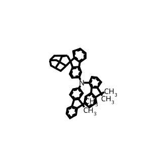 CC1(C)c2ccccc2-c2ccc(N(c3ccc4c(c3)-c3ccccc3C43C4CC5CC6CC3C6(C5)C4)c3cccc4c3-c3ccccc3C4(C)C)cc21